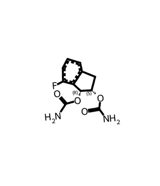 NC(=O)O[C@H]1Cc2cccc(F)c2[C@H]1OC(N)=O